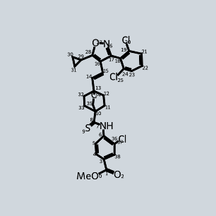 COC(=O)c1ccc(NC(=S)C23CCC(C=Cc4c(-c5c(Cl)cccc5Cl)noc4C4CC4)(CC2)CC3)c(Cl)c1